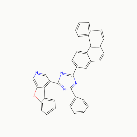 c1ccc(-c2nc(-c3ccc4c(ccc5ccc6ccccc6c54)c3)nc(-c3cncc4oc5ccccc5c34)n2)cc1